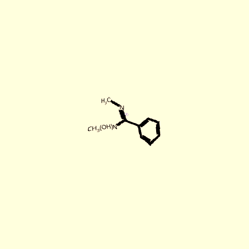 C/N=C(/c1ccccc1)N(C)O